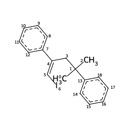 CC(C)(C/C(=C\I)c1ccccc1)c1ccccc1